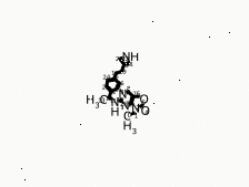 CCN1C(=O)OCc2cnc(NC(C)c3ccc(CCC4CNC4)cc3)nc21